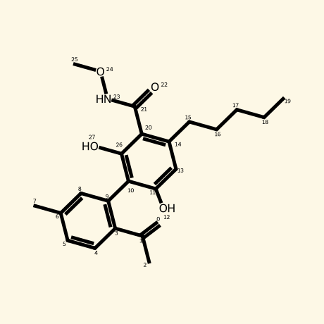 C=C(C)c1ccc(C)cc1-c1c(O)cc(CCCCC)c(C(=O)NOC)c1O